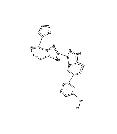 CC(C)Nc1cncc(-c2ccc3[nH]nc(-c4nc5c(-c6cccs6)nccc5[nH]4)c3c2)c1